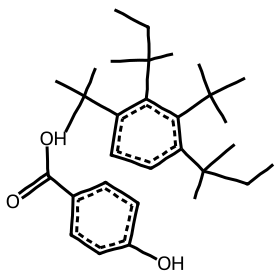 CCC(C)(C)c1ccc(C(C)(C)C)c(C(C)(C)CC)c1C(C)(C)C.O=C(O)c1ccc(O)cc1